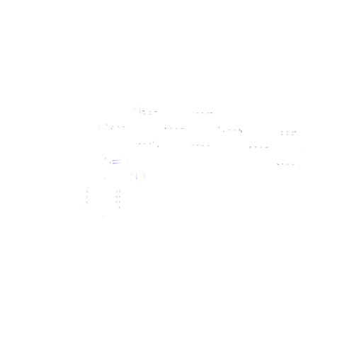 Nc1ncc(C2=CCN(C(=O)Cc3ccccc3)CC2)nc1-c1nc2ccccc2[nH]1